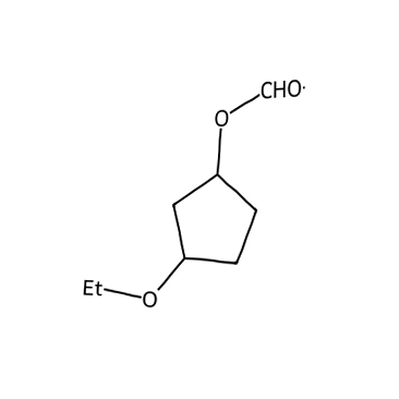 CCOC1CCC(O[C]=O)C1